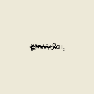 C=CC(=O)OCCCCCCCCC[SH]1C=CC=C1